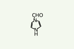 O=CN1C=CNC=C1